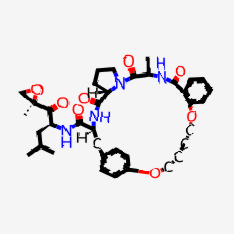 CC(C)C[C@H](NC(=O)[C@@H]1Cc2ccc(cc2)OCCCCOc2ccccc2C(=O)NC(C)C(=O)N2CCC[C@H]2C(=O)N1)C(=O)[C@@]1(C)CO1